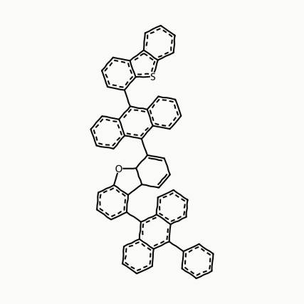 C1=CC2c3c(cccc3-c3c4ccccc4c(-c4ccccc4)c4ccccc34)OC2C(c2c3ccccc3c(-c3cccc4c3sc3ccccc34)c3ccccc23)=C1